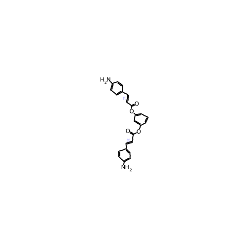 Nc1ccc(/C=C/C(=O)Oc2cccc(OC(=O)/C=C/c3ccc(N)cc3)c2)cc1